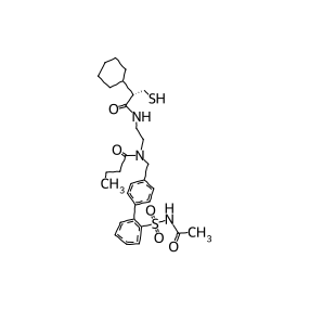 CCCC(=O)N(CCNC(=O)[C@@H](CS)C1CCCCC1)Cc1ccc(-c2ccccc2S(=O)(=O)NC(C)=O)cc1